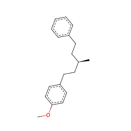 COc1ccc(CC[C@H](C)CCc2ccccc2)cc1